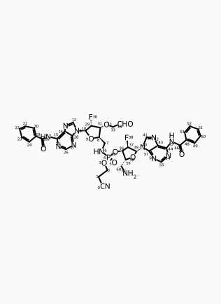 N#CCCOP(=O)(NC[C@H]1O[C@@H](n2cnc3c(NC(=O)c4ccccc4)ncnc32)[C@H](F)[C@@H]1OCC=O)O[C@H]1[C@@H](F)[C@H](n2cnc3c(NC(=O)c4ccccc4)ncnc32)O[C@@H]1CN